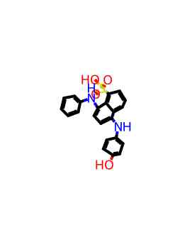 O=S(=O)(O)c1cccc2c(Nc3ccc(O)cc3)ccc(Nc3ccccc3)c12